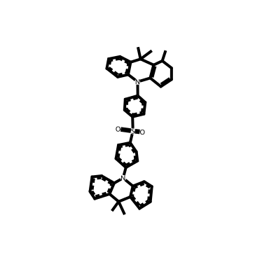 CC1CC=CC2=C1C(C)(C)c1ccccc1N2c1ccc(S(=O)(=O)c2ccc(N3c4ccccc4C(C)(C)c4ccccc43)cc2)cc1